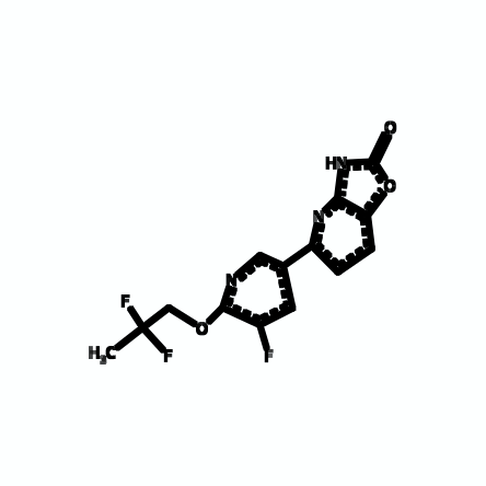 CC(F)(F)COc1ncc(-c2ccc3oc(=O)[nH]c3n2)cc1F